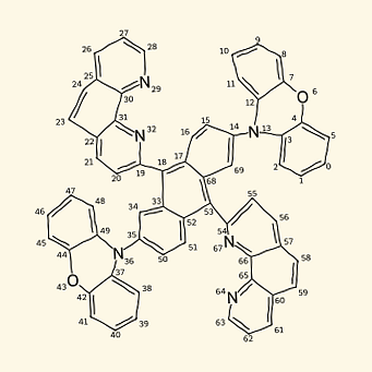 c1ccc2c(c1)Oc1ccccc1N2c1ccc2c(-c3ccc4ccc5cccnc5c4n3)c3cc(N4c5ccccc5Oc5ccccc54)ccc3c(-c3ccc4ccc5cccnc5c4n3)c2c1